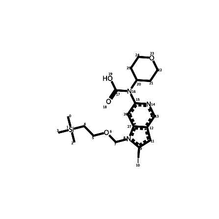 C[Si](C)(C)CCOCn1c(I)cc2cnc(N(C(=O)O)C3CCOCC3)cc21